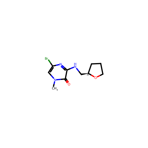 Cn1cc(Br)nc(NC[C@H]2CCCO2)c1=O